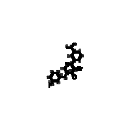 CC(C)c1cccc(-c2ncn(Cc3cccc(F)c3)c(=O)c2Br)c1